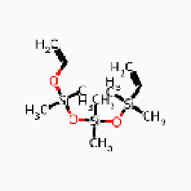 C=CO[Si](C)(C)O[Si](C)(C)O[Si](C)(C)C=C